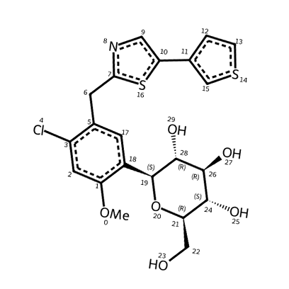 COc1cc(Cl)c(Cc2ncc(-c3ccsc3)s2)cc1[C@@H]1O[C@H](CO)[C@@H](O)[C@H](O)[C@H]1O